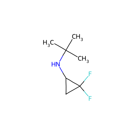 CC(C)(C)NC1CC1(F)F